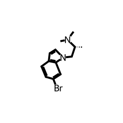 C[C@H](Cn1ccc2ccc(Br)cc21)N(C)C